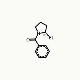 CC[C@@H]1CCCN1C(=O)c1ccccc1